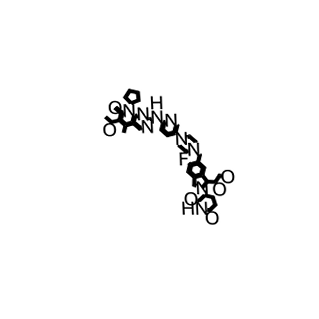 CC(=O)c1c(C)c2cnc(Nc3ccc(N4CCN(Cc5cc6c(cc5F)CN(C5CCC(=O)NC5=O)C6C(=O)C=O)CC4)cn3)nc2n(C2CCCC2)c1=O